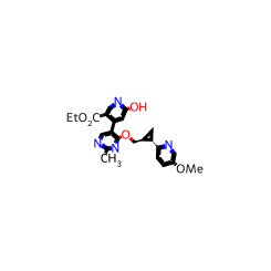 CCOC(=O)c1cnc(O)cc1-c1cnc(C)nc1OC[C@H]1C[C@@H]1c1ccc(OC)cn1